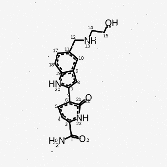 NC(=O)c1[c]cc(-c2cc3cc(CNCCO)ccc3[nH]2)c(=O)[nH]1